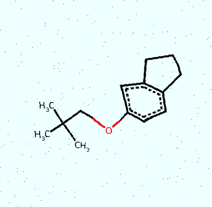 CC(C)(C)COc1ccc2c(c1)CCC2